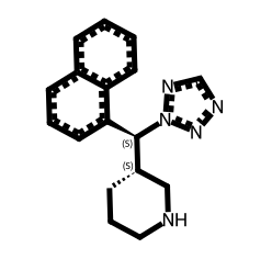 c1ccc2c([C@H]([C@H]3CCCNC3)n3ncnn3)cccc2c1